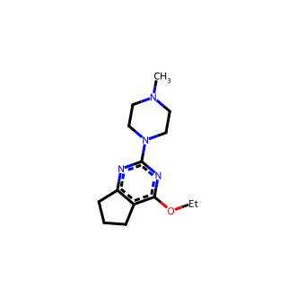 CCOc1nc(N2CCN(C)CC2)nc2c1CCC2